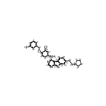 Fc1cccc(COc2ccc(Nc3ncnc4sc5cc(CCN6CCCC6)ccc5c34)cc2Cl)c1